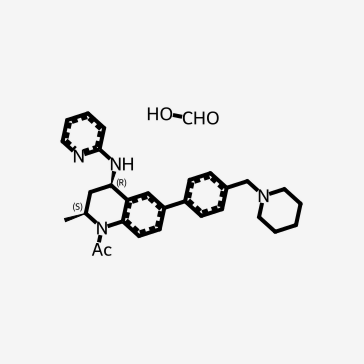 CC(=O)N1c2ccc(-c3ccc(CN4CCCCC4)cc3)cc2[C@H](Nc2ccccn2)C[C@@H]1C.O=CO